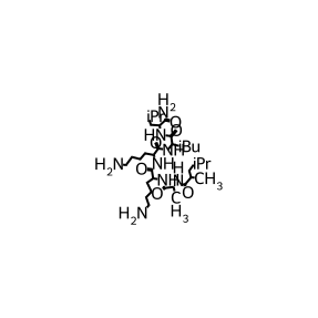 CCC(C)C(NC(=O)C(CCCCN)NC(=O)C(CCCCN)NC(=O)C(C)NC(=O)C(C)CC(C)C)C(=O)NC(CC(C)C)C(N)=O